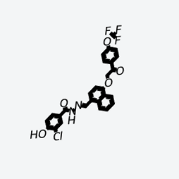 O=C(COc1ccc(/C=N/NC(=O)c2ccc(O)c(Cl)c2)c2ccccc12)c1ccc(OC(F)(F)F)cc1